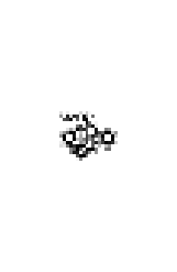 COC(=O)[C@@H](Cc1cn(Cc2ccccc2)c2ccccc12)NCc1cccc(C(F)(F)F)c1